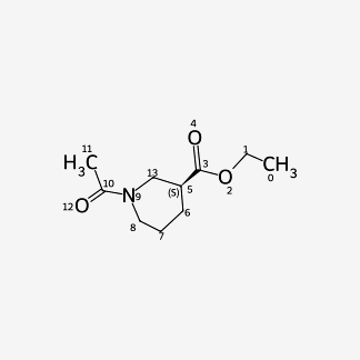 CCOC(=O)[C@H]1CCCN(C(C)=O)C1